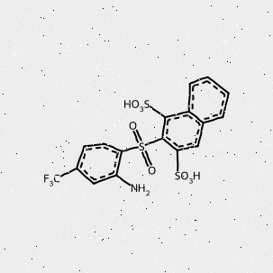 Nc1cc(C(F)(F)F)ccc1S(=O)(=O)c1c(S(=O)(=O)O)cc2ccccc2c1S(=O)(=O)O